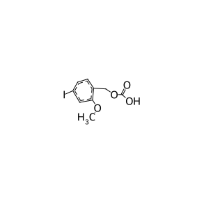 COc1cc(I)ccc1COC(=O)O